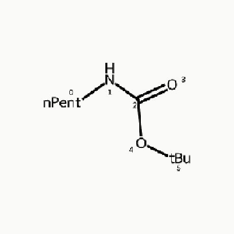 [CH2]CCCCNC(=O)OC(C)(C)C